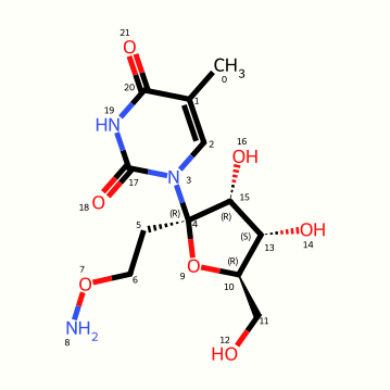 Cc1cn([C@]2(CCON)O[C@H](CO)[C@@H](O)[C@H]2O)c(=O)[nH]c1=O